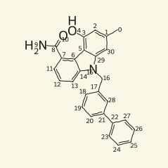 Cc1cc(O)c2c3c(C(N)=O)cccc3n(Cc3cccc(-c4ccccc4)c3)c2c1